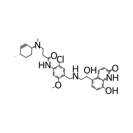 COc1cc(NC(=O)CCN(C)[C@@H]2C#C[C@@H](C)CC2)c(Cl)cc1CNC[C@H](O)c1ccc(O)c2[nH]c(=O)ccc12